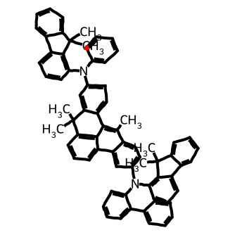 Cc1c2c3c(cccc3c3cc(N(c4ccccc4-c4ccccc4)c4cccc5c4C(C)(C)c4ccccc4-5)ccc13)C(C)(C)c1cc(N(c3ccccc3)c3cccc4c3C(C)(C)c3ccccc3-4)ccc1-2